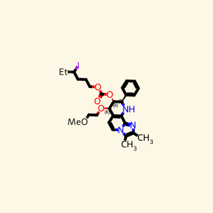 CCC(I)CCCOC(=O)O[C@@H]1[C@@H](c2ccccc2)Nc2c(ccn3c(C)c(C)nc23)[C@H]1OCCOC